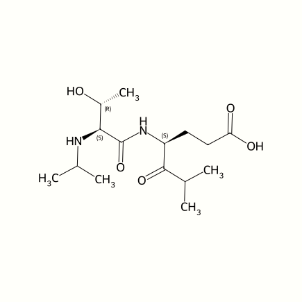 CC(C)N[C@H](C(=O)N[C@@H](CCC(=O)O)C(=O)C(C)C)[C@@H](C)O